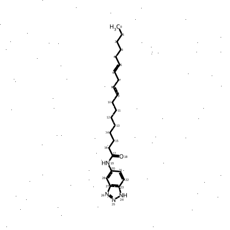 CCCCCC=CCC=CCCCCCCCC(=O)Nc1ccc2[nH]nnc2c1